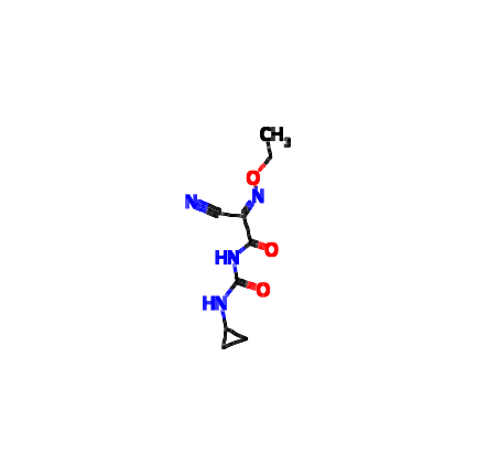 CCO/N=C(\C#N)C(=O)NC(=O)NC1CC1